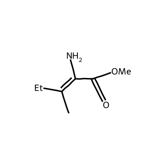 CCC(C)=C(N)C(=O)OC